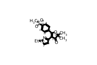 CCn1ccc(C2=C(c3ccc(S(C)(=O)=O)cc3)OC(C)(C)C2=O)n1